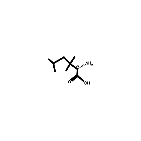 CC(C)CC(C)(C)[C@H](N)C(=O)O